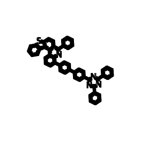 c1ccc(-c2nc(-c3ccccc3)nc(-c3ccc(-c4ccc(-c5cccc6c5nc(-c5ccccc5)c5ccc7sc8ccccc8c7c56)cc4)cc3)n2)cc1